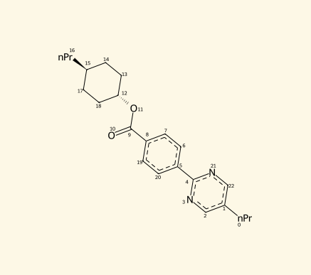 CCCc1cnc(-c2ccc(C(=O)O[C@H]3CC[C@H](CCC)CC3)cc2)nc1